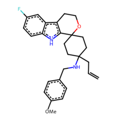 C=CCC1(NCc2ccc(OC)cc2)CCC2(CC1)OCCc1c2[nH]c2ccc(F)cc12